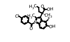 CCC[C@@](C)(C(=O)O)c1c(C)n(C(=O)c2ccc(Cl)cc2)c2ccc(O)c(F)c12